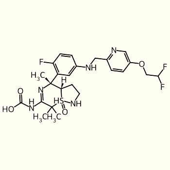 CC1(C)C(NC(=O)O)=N[C@](C)(c2cc(NCc3ccc(OCC(F)F)cn3)ccc2F)[C@@H]2CCN[SH]21=O